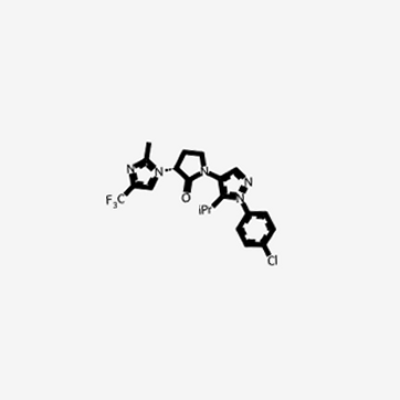 Cc1nc(C(F)(F)F)cn1[C@@H]1CCN(c2cnn(-c3ccc(Cl)cc3)c2C(C)C)C1=O